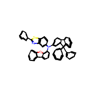 c1ccc(-c2nc3cc(N(c4ccc5c(c4)C(c4ccccc4)(c4ccccc4)c4ccccc4-5)c4cccc5c4oc4ccccc45)ccc3s2)cc1